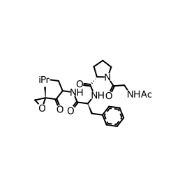 CC(=O)NCC(=O)N1CCC[C@H]1C(=O)N[C@@H](Cc1ccccc1)C(=O)NC(CC(C)C)C(=O)[C@@]1(C)CO1